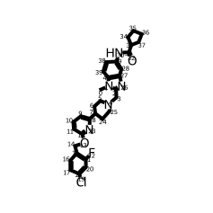 Cn1c(CN2CCC(c3cccc(OCc4ccc(Cl)cc4F)n3)CC2)nc2cc(NC(=O)C3CCCC3)ccc21